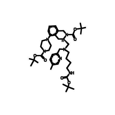 Cc1ccc(CN(CCCCNC(=O)OC(C)(C)C)C[C@H]2Cc3c(cccc3N3CCN(C(=O)OC(C)(C)C)CC3)CN2C(=O)OC(C)(C)C)nc1